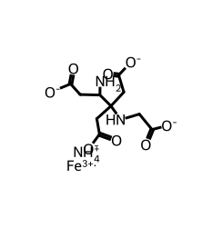 NC(CC(=O)[O-])C(CC(=O)[O-])(CC(=O)[O-])NCC(=O)[O-].[Fe+3].[NH4+]